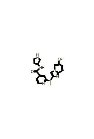 N#Cc1ccc2nc(Nc3cc(C(=O)NC4CCNC4)ccn3)cn2c1